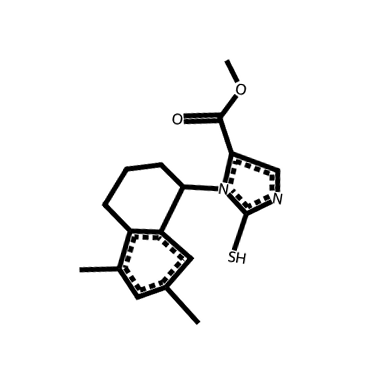 COC(=O)c1cnc(S)n1C1CCCc2c(C)cc(C)cc21